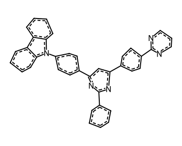 c1ccc(-c2nc(-c3ccc(-c4ncccn4)cc3)cc(-c3ccc(-n4c5ccccc5c5ccccc54)cc3)n2)cc1